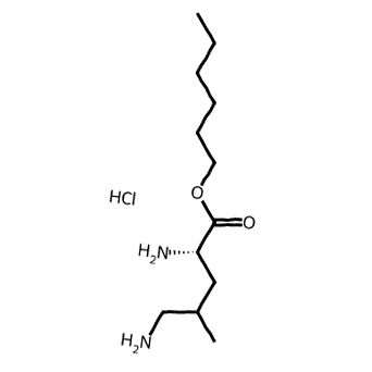 CCCCCCOC(=O)[C@@H](N)CC(C)CN.Cl